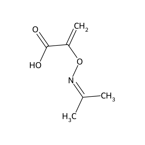 C=C(ON=C(C)C)C(=O)O